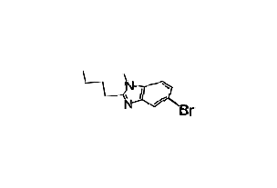 CCCCc1nc2cc(Br)ccc2n1C